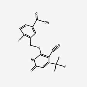 N#Cc1c(C(F)(F)F)cc(=O)[nH]c1SCc1cc(C(=O)O)ccc1F